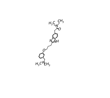 CCN(CC)C(=O)Cc1ccc2[nH]c(CCCOc3cccc(CN(C)C)c3)nc2c1